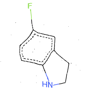 Fc1ccc2c(c1)[CH]CN2